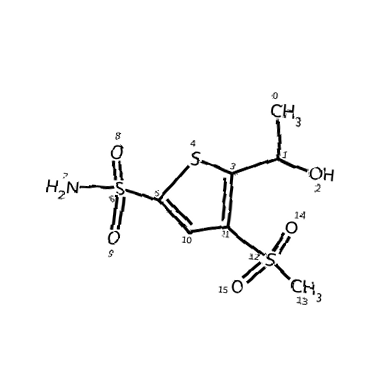 CC(O)c1sc(S(N)(=O)=O)cc1S(C)(=O)=O